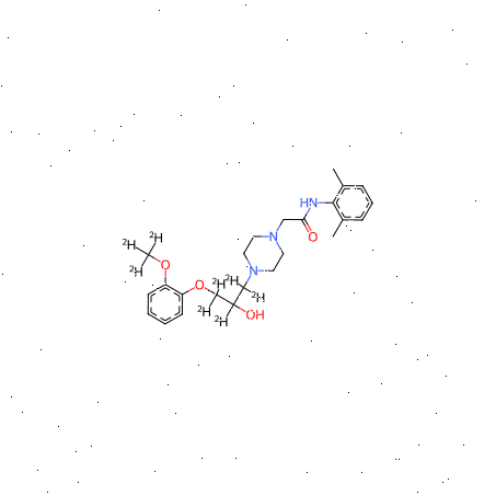 [2H]C([2H])([2H])Oc1ccccc1OC([2H])([2H])C([2H])(O)C([2H])([2H])N1CCN(CC(=O)Nc2c(C)cccc2C)CC1